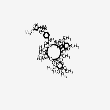 CC[C@H]1OC(=O)[C@H](C)[C@@H](O[C@H]2C[C@@](C)(OC)[C@@H](O)[C@H](C)O2)[C@H](C)[C@@H](O[C@@H]2O[C@H](C)C[C@H](N(C)C)[C@H]2O)[C@](C)(O)C[C@@H](C)CN(C(=O)Nc2ccc(S(=O)(=O)Nc3cc(C)on3)cc2)[C@H](C)[C@@H](O)[C@]1(C)O